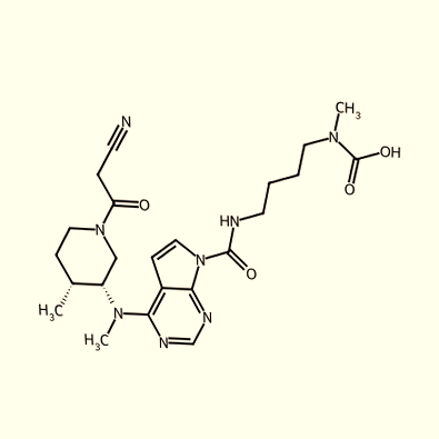 C[C@@H]1CCN(C(=O)CC#N)C[C@@H]1N(C)c1ncnc2c1ccn2C(=O)NCCCCN(C)C(=O)O